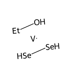 CCO.[SeH][SeH].[V]